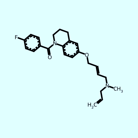 C=CCN(C)C/C=C/COc1ccc2c(c1)CCCN2C(=O)c1ccc(F)cc1